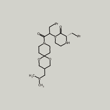 CC(C)CC(C(=O)N1CCC2(CC1)OCC(CN(C)C)CO2)N1CCN[C@@H](CC(C)C)C1=O